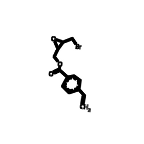 C=Cc1ccc(C(=O)OCC2OC2CBr)cc1